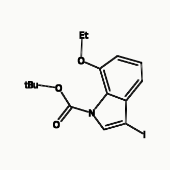 CCOc1cccc2c(I)cn(C(=O)OC(C)(C)C)c12